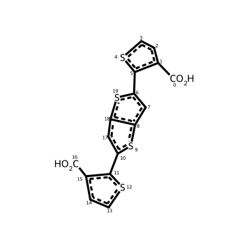 O=C(O)c1ccsc1-c1cc2sc(-c3sccc3C(=O)O)cc2s1